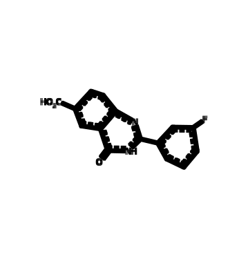 O=C(O)c1ccc2nc(-c3cccc(F)c3)[nH]c(=O)c2c1